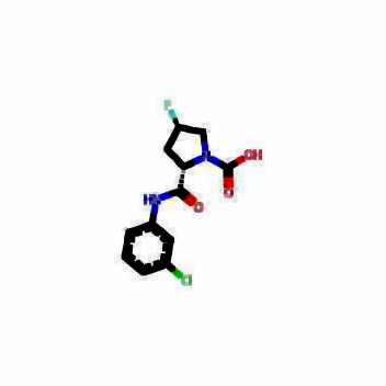 O=C(Nc1cccc(Cl)c1)[C@@H]1C[C@@H](F)CN1C(=O)O